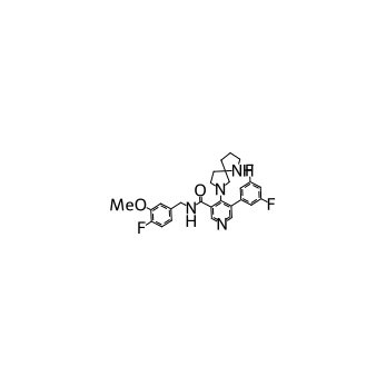 COc1cc(CNC(=O)c2cncc(-c3cc(F)cc(F)c3)c2N2CCC3(CCCN3)C2)ccc1F